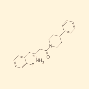 N[C@@H](CC(=O)N1CCC(c2ccccc2)CC1)Cc1ccccc1F